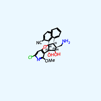 COc1nc(Cl)cc2c1[C@]1(O)[C@H](O)[C@H](CN)[C@@H](c3ccccc3)[C@]1(c1ccccc1C#N)O2